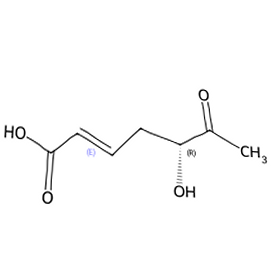 CC(=O)[C@H](O)C/C=C/C(=O)O